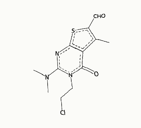 Cc1c(C=O)sc2nc(N(C)C)n(CCCl)c(=O)c12